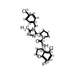 Cc1nnc([C@H]2CCCN2C(=O)N[C@H]2CCOc3c(F)ccc(Cl)c32)n1Cc1ccc(Cl)cc1